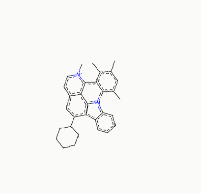 Cc1cc(C)c2c(c1C)c1c3c(cc[n+]1C)cc(C1CCCCC1)c1c4ccccc4n2c13